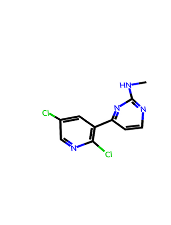 CNc1nccc(-c2cc(Cl)cnc2Cl)n1